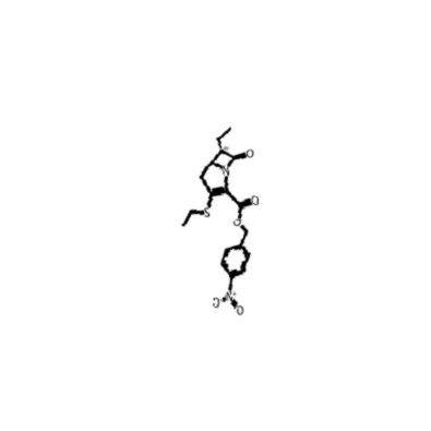 CCSC1=C(C(=O)OCc2ccc([N+](=O)[O-])cc2)N2C(=O)[C@H](CC)C2C1